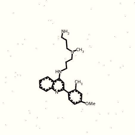 COc1ccc(-c2cc(NCCCN(C)CCCN)c3ccccc3n2)c(C)c1